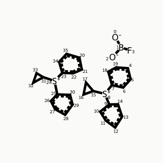 [O-]B([O-])F.c1ccc([S+](c2ccccc2)C2CC2)cc1.c1ccc([S+](c2ccccc2)C2CC2)cc1